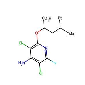 CCCCC(CC)CC(Oc1nc(F)c(Cl)c(N)c1Cl)C(=O)O